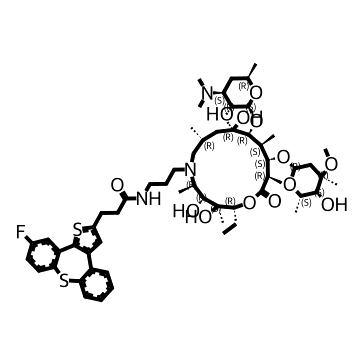 CC[C@H]1OC(=O)[C@H](C)[C@@H](O[C@H]2C[C@@](C)(OC)[C@@H](O)[C@H](C)O2)[C@H](C)[C@@H](O[C@@H]2O[C@H](C)C[C@H](N(C)C)[C@H]2O)[C@](C)(O)C[C@@H](C)CN(CCCNC(=O)CCc2cc3c(s2)-c2cc(F)ccc2Sc2ccccc2-3)[C@H](C)[C@@H](O)[C@]1(C)O